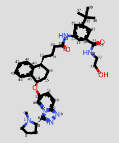 CN1CCC[C@H]1c1nnc2ccc(O[C@@H]3CC[C@H](CCCC(=O)Nc4cc(C(=O)NCCO)cc(C(C)(C)C)c4)c4ccccc43)cn12